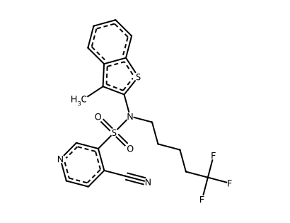 Cc1c(N(CCCCC(F)(F)F)S(=O)(=O)c2cnccc2C#N)sc2ccccc12